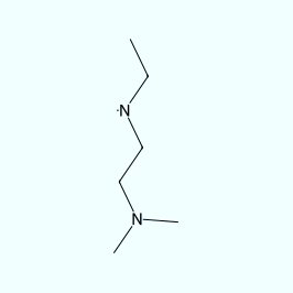 CC[N]CCN(C)C